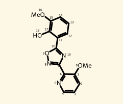 COc1cccnc1-c1noc(-c2cccc(OC)c2O)n1